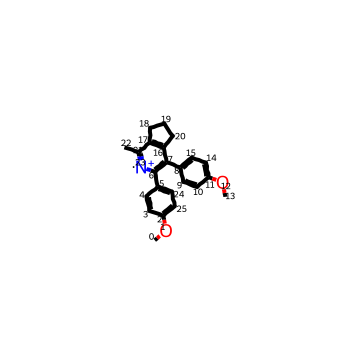 COc1ccc(C2=C(c3ccc(OC)cc3)C3=C(CCC3)C(C)=[N+]2)cc1